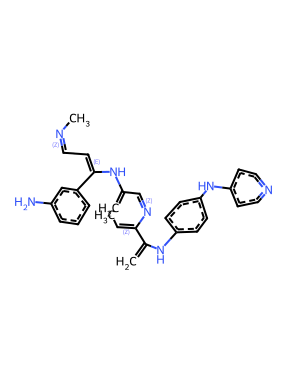 C=C(/C=N\C(=C/C)C(=C)Nc1ccc(Nc2ccncc2)cc1)N/C(=C/C=N\C)c1cccc(N)c1